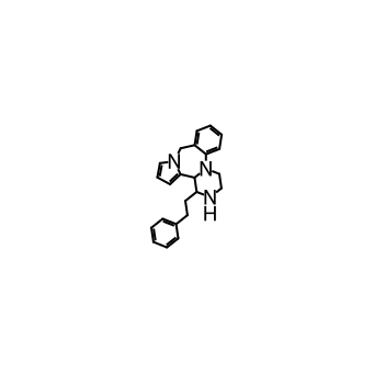 c1ccc(CCC2NCCN3c4ccccc4Cn4cccc4C23)cc1